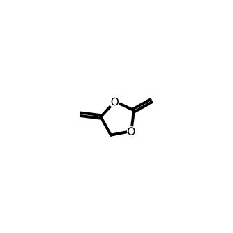 C=C1COC(=C)O1